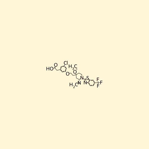 C=NC1CC(CCOc2cc(Cl)cc(CC(=O)O)c2)(OCC)CCN1c1nc2ccc(C(F)(F)F)cc2s1